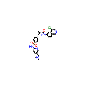 CN(C)Cc1ccc(NS(=O)(=O)c2ccc([C@@H]3C[C@H]3C(=O)Nc3ccc4cncc(Cl)c4c3)cc2)nc1